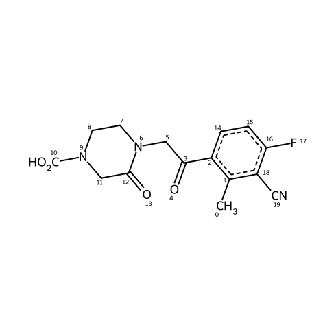 Cc1c(C(=O)CN2CCN(C(=O)O)CC2=O)ccc(F)c1C#N